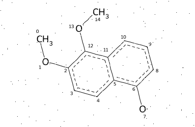 COc1ccc2c([O])cccc2c1OC